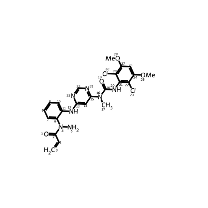 C=CC(=O)N(N)c1ccccc1Nc1cc(N(C)C(=O)Nc2c(Cl)c(OC)cc(OC)c2Cl)ncn1